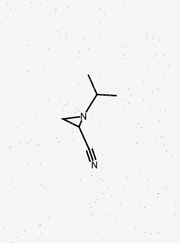 CC(C)N1CC1C#N